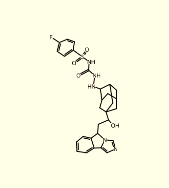 O=C(NNC1C2CC3CC1CC(C(O)CC1c4ccccc4-c4cncn41)(C3)C2)NS(=O)(=O)c1ccc(F)cc1